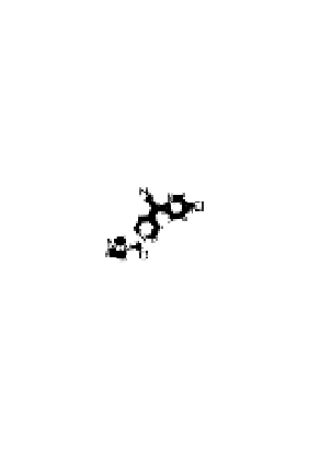 N#CC(=C1CCN(C(=O)n2ccnc2)CC1)c1ccc(Cl)cn1